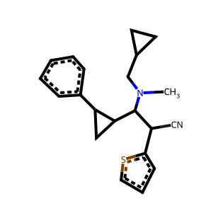 CN(CC1CC1)C(C(C#N)c1cccs1)C1CC1c1ccccc1